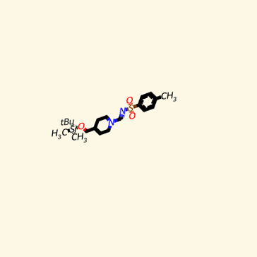 Cc1ccc(S(=O)(=O)/N=C/N2CCC(CO[Si](C)(C)C(C)(C)C)CC2)cc1